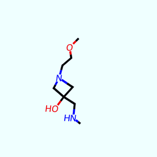 CNCC1(O)CN(CCOC)C1